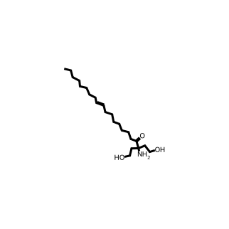 CCCCCCCCC=CCCCCCCCC(=O)C(N)(CCO)CCO